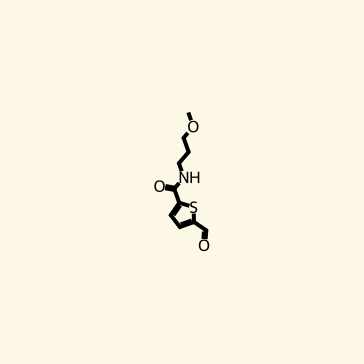 COCCCNC(=O)c1ccc(C=O)s1